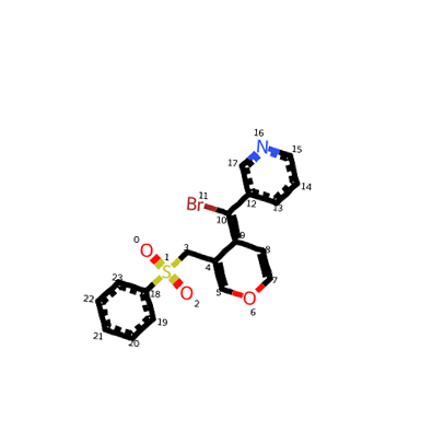 O=S(=O)(CC1=COC=CC1=C(Br)c1cccnc1)c1ccccc1